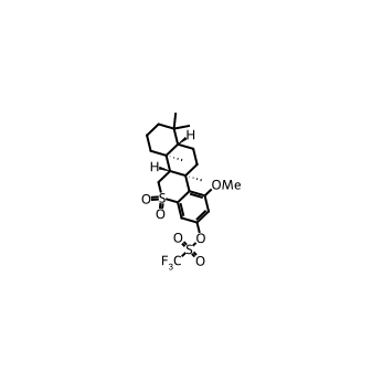 COc1cc(OS(=O)(=O)C(F)(F)F)cc2c1[C@]1(C)CC[C@H]3C(C)(C)CCC[C@]3(C)[C@H]1CS2(=O)=O